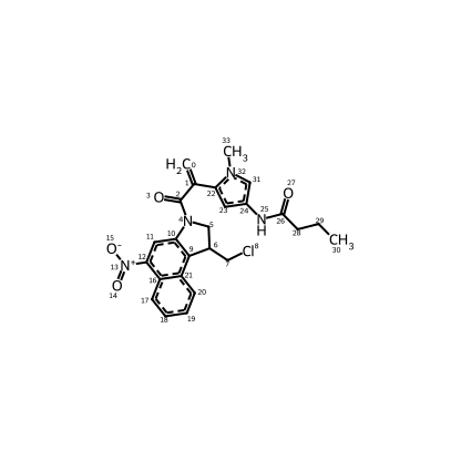 C=C(C(=O)N1CC(CCl)c2c1cc([N+](=O)[O-])c1ccccc21)c1cc(NC(=O)CCC)cn1C